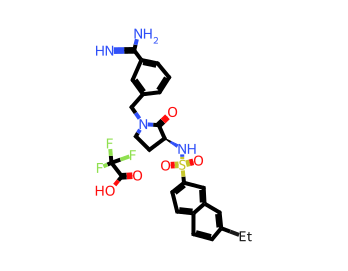 CCc1ccc2ccc(S(=O)(=O)N[C@H]3CCN(Cc4cccc(C(=N)N)c4)C3=O)cc2c1.O=C(O)C(F)(F)F